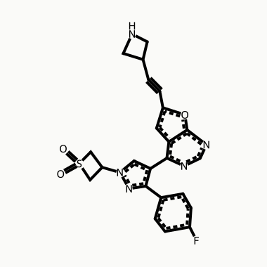 O=S1(=O)CC(n2cc(-c3ncnc4oc(C#CC5CNC5)cc34)c(-c3ccc(F)cc3)n2)C1